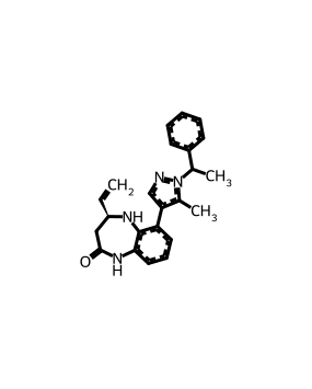 C=C[C@@H]1CC(=O)Nc2cccc(-c3cnn(C(C)c4ccccc4)c3C)c2N1